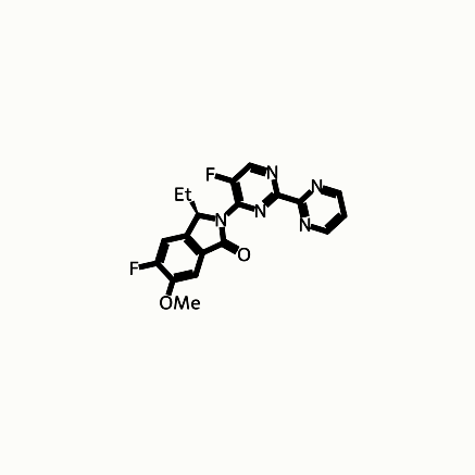 CC[C@@H]1c2cc(F)c(OC)cc2C(=O)N1c1nc(-c2ncccn2)ncc1F